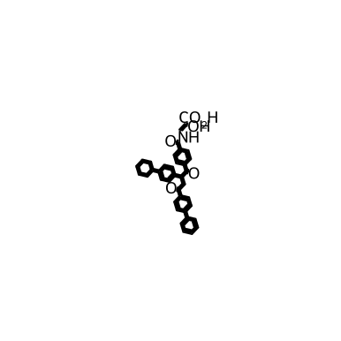 O=C(CC(C(=O)c1ccc(C(=O)NCC(O)C(=O)O)cc1)c1ccc(C2CCCCC2)cc1)c1ccc(-c2ccccc2)cc1